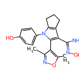 Cc1noc(C)c1-c1c(/C(N)=N/O)c2c(n1-c1ccc(O)cc1)CCC2